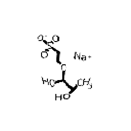 CC(O)C(O)OCCS(=O)(=O)[O-].[Na+]